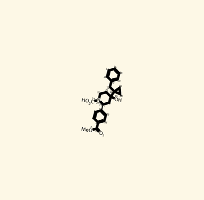 COC(=O)c1ccc([C@@H]2CC(O)(C3(Cc4ccccc4)CC3)CCN2C(=O)O)cc1